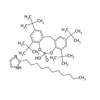 CC(C)(C)c1cc2c(c(C(C)(C)C)c1)OP(=O)(O)Oc1c(cc(C(C)(C)C)cc1C(C)(C)C)C2.CCCCCCCCCCCc1ncc[nH]1